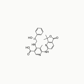 Cc1c(Nc2ccc3c(n2)C(C)(C)OC3=O)ncc(C(=O)O)c1NC[C@H](O)c1ccccc1